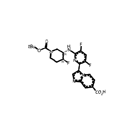 CC(C)(C)OC(=O)N1CC[C@H](F)[C@@H](Nc2nc(-c3cnc4cc(C(=O)O)ccn34)c(F)cc2F)C1